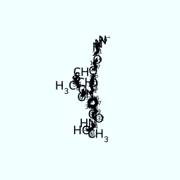 CSSC(C)(C)COC(=O)N(CCOCCOCCOCCN=[N+]=[N-])c1ccc(COC(=O)NC[C@H](C)O)cc1